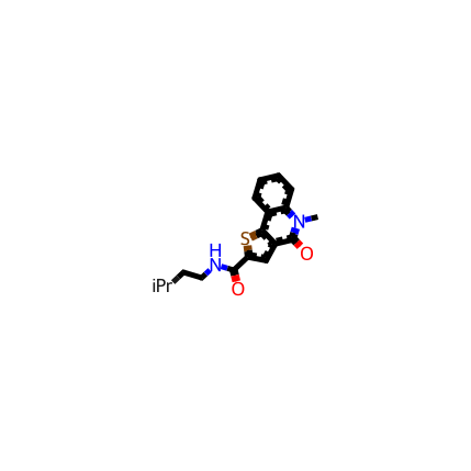 CC(C)CCNC(=O)c1cc2c(=O)n(C)c3ccccc3c2s1